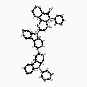 O=c1c2ccccc2c2nc(-n3c4ccccc4c4cc(-c5ccc6c(c5)c5ccccc5n6-c5ccccc5)ccc43)cnc2n1-c1ccccc1